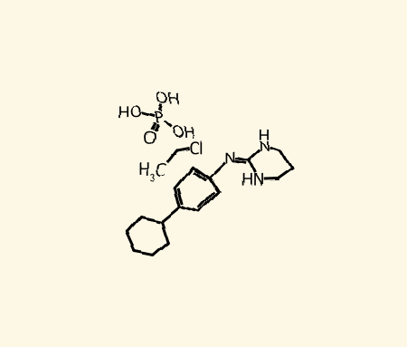 CCCl.O=P(O)(O)O.c1cc(C2CCCCC2)ccc1N=C1NCCCN1